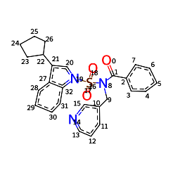 O=C(c1ccccc1)N(Cc1cccnc1)S(=O)(=O)n1cc(C2CCCC2)c2ccccc21